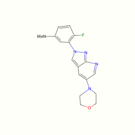 CNc1ccc(F)c(-n2cc3cc(N4CCOCC4)cnc3n2)c1